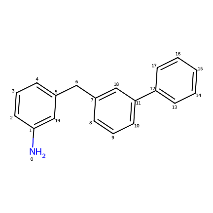 Nc1cccc(Cc2cccc(-c3ccccc3)c2)c1